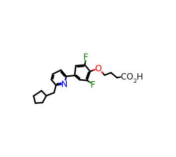 O=C(O)CCCOc1c(F)cc(-c2cccc(CC3CCCC3)n2)cc1F